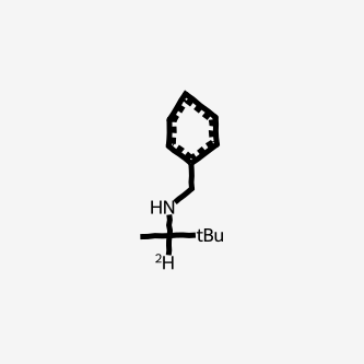 [2H]C(C)(NCc1ccccc1)C(C)(C)C